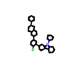 Brc1ccc(-c2ccc3cc(-c4ccccc4)ccc3c2)cc1-c1ccc2c3ccccc3n(-c3ccccc3)c2c1